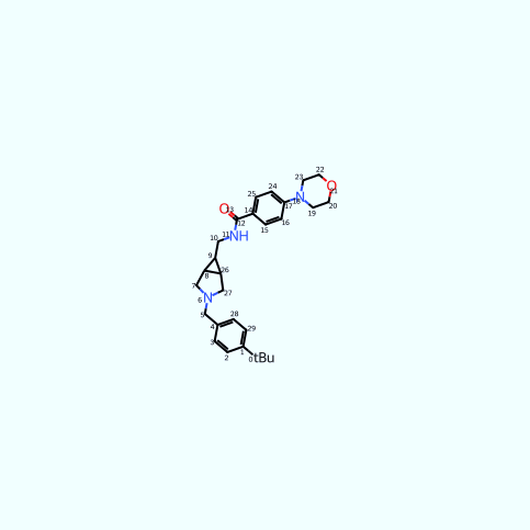 CC(C)(C)c1ccc(CN2CC3C(CNC(=O)c4ccc(N5CCOCC5)cc4)C3C2)cc1